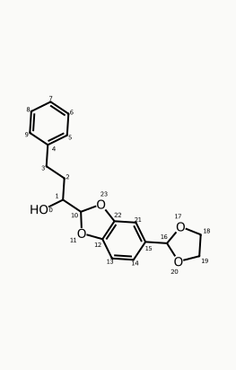 OC(CCc1ccccc1)C1Oc2ccc(C3OCCO3)cc2O1